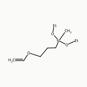 C=COCCC[Si](C)(OCC)OCC